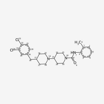 Cc1ccccc1NC(=O)N1CCC(N2CCC(Cc3ccc(Cl)c(Cl)c3)CC2)CC1